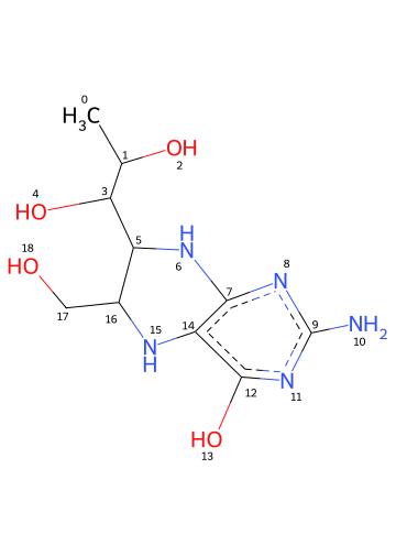 CC(O)C(O)C1Nc2nc(N)nc(O)c2NC1CO